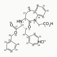 Cl.O=C(O)CN1C(=O)C(N[C@H](CCc2ccccc2)C(=O)OCc2ccccc2)CSc2ccccc21